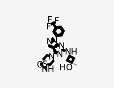 C[C@]1(O)C[C@H](Nc2nc(N3CCS(=N)(=O)CC3)c3cnn(-c4cccc(C(F)(F)F)c4)c3n2)C1